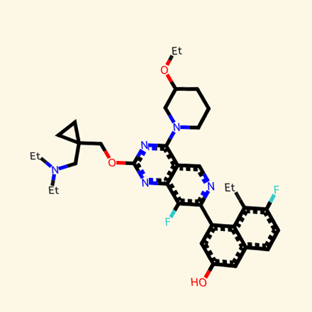 CCOC1CCCN(c2nc(OCC3(CN(CC)CC)CC3)nc3c(F)c(-c4cc(O)cc5ccc(F)c(CC)c45)ncc23)C1